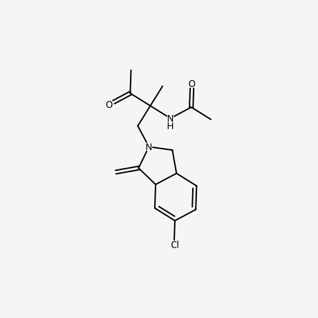 C=C1C2C=C(Cl)C=CC2CN1CC(C)(NC(C)=O)C(C)=O